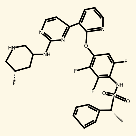 C[C@H](c1ccccc1)S(=O)(=O)Nc1c(F)cc(Oc2ncccc2-c2ccnc(NC3CNC[C@@H](F)C3)n2)c(F)c1F